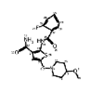 COC1CCN(Sc2cc(C(N)=O)c(NC(=O)c3ccccc3F)s2)CC1